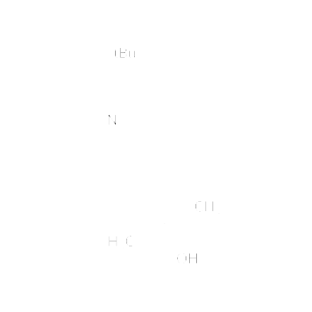 CC(C)(C)CN1CCC(C(C)(C)O)CC1